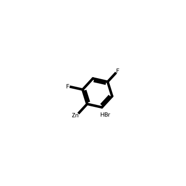 Br.Fc1cc[c]([Zn])c(F)c1